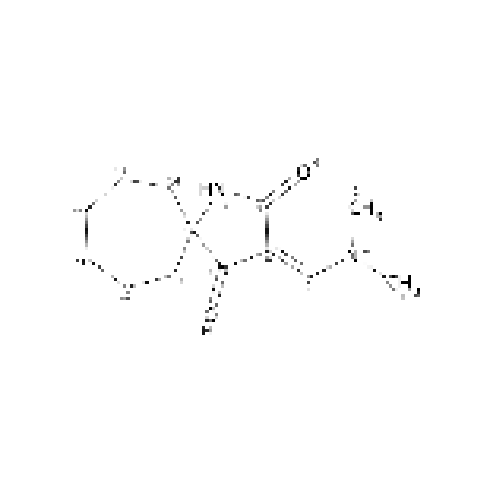 CN(C)/C=C1\C(=O)NC2(CCCCCC2)C1=O